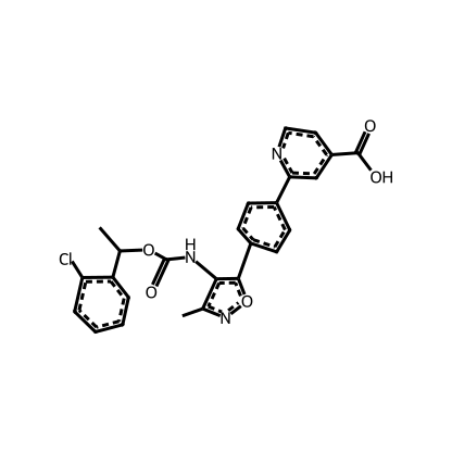 Cc1noc(-c2ccc(-c3cc(C(=O)O)ccn3)cc2)c1NC(=O)OC(C)c1ccccc1Cl